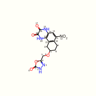 O=c1[nH]nc(COC2CCc3c([N+](=O)[O-])cc4[nH]c(=O)c(=O)[nH]c4c3C2)o1